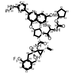 C=C[C@@H]1C[C@]1(NC(=O)[C@@H]1C[C@@H](Oc2cc(-c3csc(NC(C)C)n3)nc3cc(OC)ccc23)CN1C(=O)C(NC(=O)OC1CCCC1)C(C)(C)C)P(=O)(O)Cc1c(F)cccc1C(F)(F)F